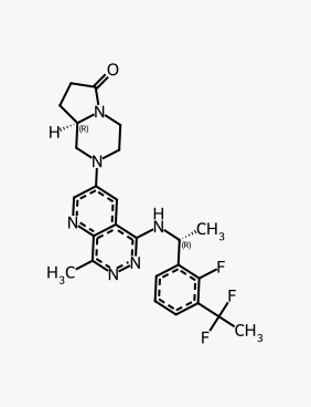 Cc1nnc(N[C@H](C)c2cccc(C(C)(F)F)c2F)c2cc(N3CCN4C(=O)CC[C@@H]4C3)cnc12